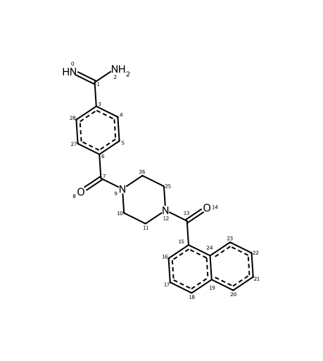 N=C(N)c1ccc(C(=O)N2CCN(C(=O)c3cccc4ccccc34)CC2)cc1